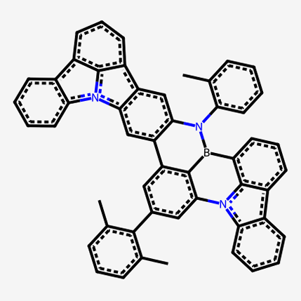 Cc1ccccc1N1B2c3c(cc(-c4c(C)cccc4C)cc3-n3c4ccccc4c4cccc2c43)-c2cc3c(cc21)c1cccc2c4ccccc4n3c21